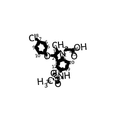 Cc1c(Oc2ccc(Cl)cc2)c2cc(NS(C)(=O)=O)ccc2n1CC(=O)O